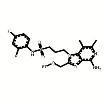 CCOCc1nc2c(N)nc(C)c(C)c2n1CCCS(=O)(=O)Nc1ccc(F)cc1F